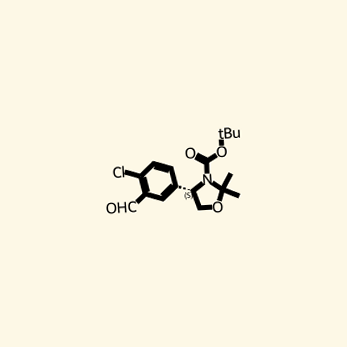 CC(C)(C)OC(=O)N1[C@@H](c2ccc(Cl)c(C=O)c2)COC1(C)C